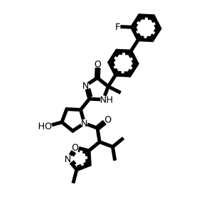 Cc1cc(C(C(=O)N2CC(O)CC2C2=NC(=O)C(C)(c3ccc(-c4ccccc4F)cc3)N2)C(C)C)on1